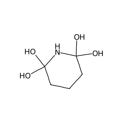 OC1(O)CCCC(O)(O)N1